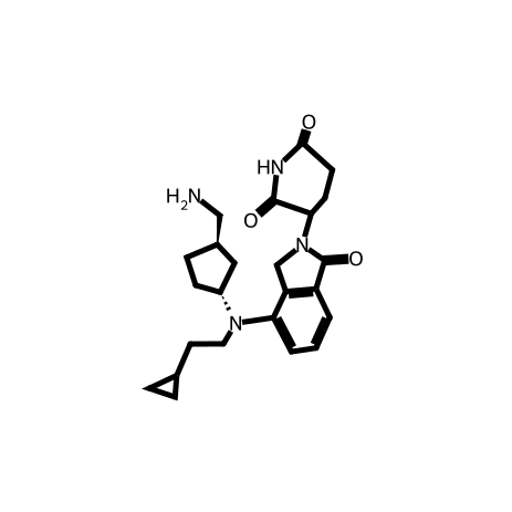 NC[C@@H]1CC[C@@H](N(CCC2CC2)c2cccc3c2CN(C2CCC(=O)NC2=O)C3=O)C1